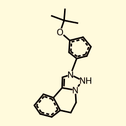 CC(C)(C)Oc1cccc(N2C=C3c4ccccc4CCN3N2)c1